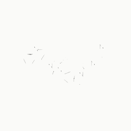 CN(C)CC(C)(C)CNCC(=O)N1CC(C)(C)c2ccc(N3C(=O)N(Cc4ccnc5ccccc45)C(C)(C)C3=O)cc21